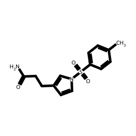 Cc1ccc(S(=O)(=O)n2ccc([CH]CC(N)=O)c2)cc1